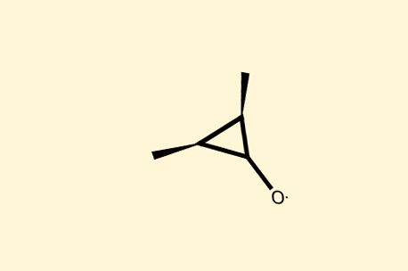 C[C@@H]1C([O])[C@@H]1C